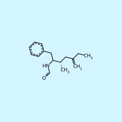 C=C(CC)C[C@H](C)C(Cc1ccccc1)NC=O